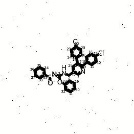 [O-][S+](/N=C(/NCc1cnc(-c2ccc(Cl)cc2)c(-c2ccc(Cl)cc2)c1)Oc1ccccc1)c1ccccc1